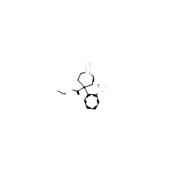 CCOC(=O)C1(c2ccccc2[N+](=O)[O-])CCNCC1